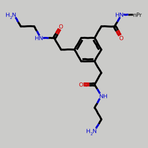 CCCNC(=O)Cc1cc(CC(=O)NCCN)cc(CC(=O)NCCN)c1